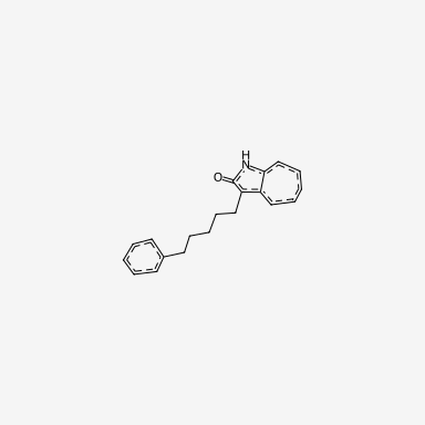 O=c1[nH]c2cccccc-2c1CCCCCc1ccccc1